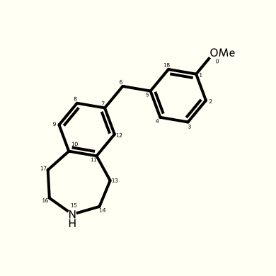 COc1cccc(Cc2ccc3c(c2)CCNCC3)c1